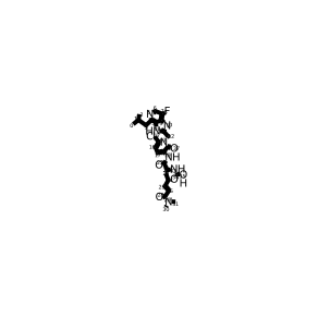 CC(C)Cc1ncc(F)c2nc(Cn3c(Cl)ccc(NC(=O)[C@H](CC/C=C/C(=O)N(C)C)NC(=O)O)c3=O)[nH]c12